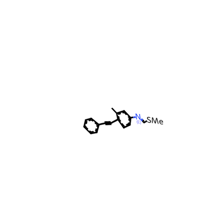 CS/C=N/c1ccc(C#Cc2ccccc2)c(C)c1